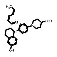 C=C(/C=C\C=C/C)[C@H]1CCc2cc(O)ccc2[C@H]1c1ccc(N2CCC(C=O)CC2)cc1